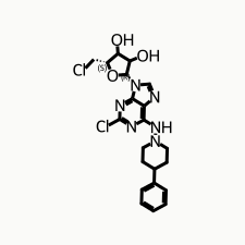 OC1C(O)[C@@H](CCl)O[C@H]1n1cnc2c(NN3CCC(c4ccccc4)CC3)nc(Cl)nc21